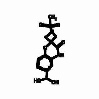 CS(=O)(=O)N1CC2(C1)Oc1ccc(C(O)O)cc1NC2=O